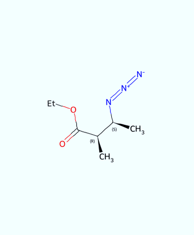 CCOC(=O)[C@H](C)[C@H](C)N=[N+]=[N-]